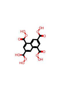 O=C(OO)c1cc(C(=O)OO)c2cc(C(O)OO)cc(C(=O)OO)c2c1